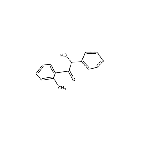 Cc1ccccc1C(=O)C(O)c1ccccc1